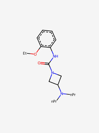 CCCN(CCC)C1CN(C(=O)Nc2ccccc2OCC)C1